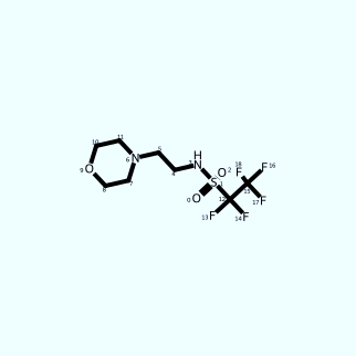 O=S(=O)(NCCN1CCOCC1)C(F)(F)C(F)(F)F